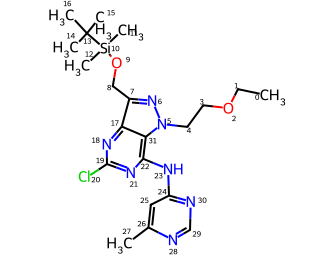 CCOCCn1nc(CO[Si](C)(C)C(C)(C)C)c2nc(Cl)nc(Nc3cc(C)ncn3)c21